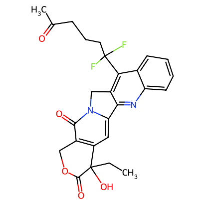 CCC1(O)C(=O)OCc2c1cc1n(c2=O)Cc2c-1nc1ccccc1c2C(F)(F)CCCC(C)=O